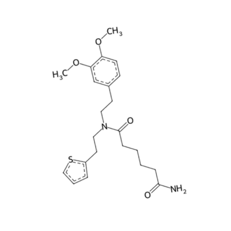 COc1ccc(CCN(CCc2cccs2)C(=O)CCCCC(N)=O)cc1OC